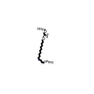 CCCCC/C=C\C/C=C\CCCCCCCCCCOC[C@H](COCCCCCC)N(C)C